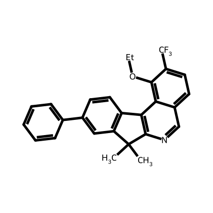 CCOc1c(C(F)(F)F)ccc2cnc3c(c12)-c1ccc(-c2ccccc2)cc1C3(C)C